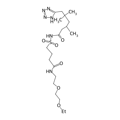 CCOCCOCCNC(=O)CCCS(=O)(=O)NC(=O)CC(C)CC(C)(C)Cc1nnn[nH]1